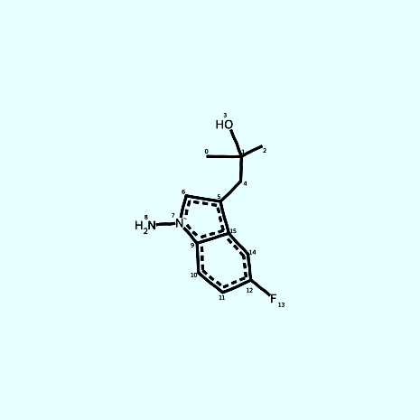 CC(C)(O)Cc1cn(N)c2ccc(F)cc12